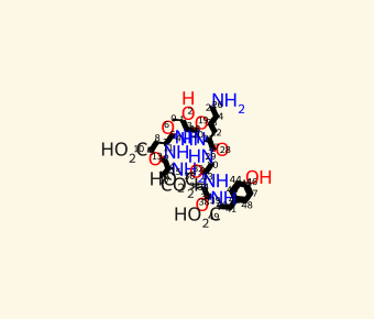 C[C@@H](O)[C@H](NC(=O)[C@H](CCC(=O)O)NC(=O)[C@@H](N)CC(=O)O)C(=O)N[C@@H](CCCCN)C(=O)NCC(=O)N[C@@H](CC(=O)O)C(=O)N[C@@H](Cc1ccc(O)cc1)C(=O)O